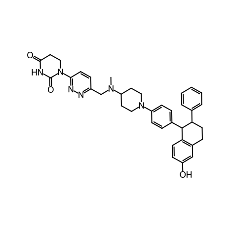 CN(Cc1ccc(N2CCC(=O)NC2=O)nn1)C1CCN(c2ccc(C3c4ccc(O)cc4CCC3c3ccccc3)cc2)CC1